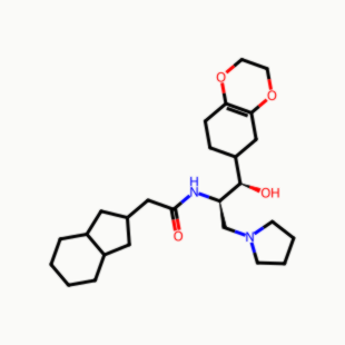 O=C(CC1CC2CCCCC2C1)N[C@H](CN1CCCC1)[C@H](O)C1CCC2=C(C1)OCCO2